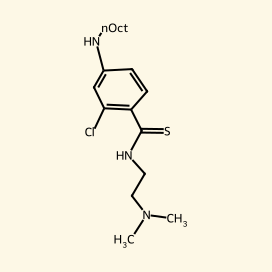 CCCCCCCCNc1ccc(C(=S)NCCN(C)C)c(Cl)c1